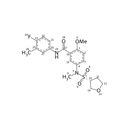 COc1ccc(N(C)S(=O)(=O)[C@@H]2CCOC2)cc1C(=O)Nc1ccc(F)c(C)c1